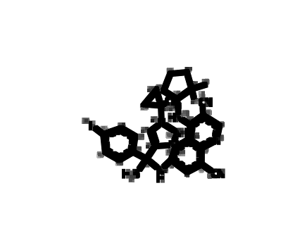 BC(Nc1cc(C#N)c2ncc(C#N)c(NC3CCCC3(C)C)c2c1)(C1=CN(C2(C(F)(F)F)CC2)NN1)c1ccc(F)cc1